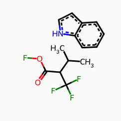 CC(C)C(C(=O)OF)C(F)(F)F.c1ccc2[nH]ccc2c1